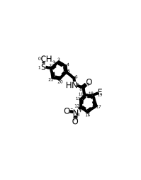 CSc1ccc(CNC(=O)c2cc([N+](=O)[O-])ccc2F)cc1